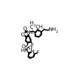 Cc1c(CCN)cccc1[C@@H](C)n1c(=O)oc2cc(S(=O)(=O)Nc3cccc(F)n3)c(F)cc21